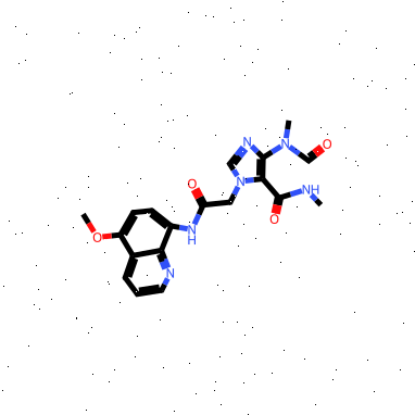 CNC(=O)c1c(N(C)C=O)ncn1CC(=O)Nc1ccc(OC)c2cccnc12